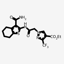 CCOC(=O)c1cn(CC(=O)Nc2sc3c(c2C(N)=O)CCCC3)nc1C(F)(F)F